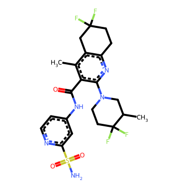 Cc1c2c(nc(N3CCC(F)(F)C(C)C3)c1C(=O)Nc1ccnc(S(N)(=O)=O)c1)CCC(F)(F)C2